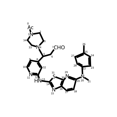 CC(=O)N1CCN(C(CC=O)c2ccnc(Nc3nc4ccc(N(C)c5ccc(C)cc5)nc4s3)c2)CC1